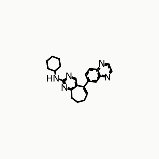 C1=C(c2ccc3nccnc3c2)c2cnc(NC3CCCCC3)nc2CCC1